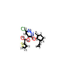 Cc1cccc(C2CC2)c1Oc1nnc(Cl)cc1OC(=O)c1cccs1